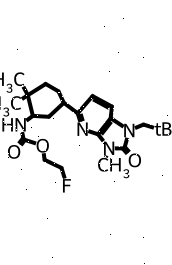 Cn1c(=O)n(CC(C)(C)C)c2ccc(C3CCC(C)(C)C(NC(=O)OCCF)C3)nc21